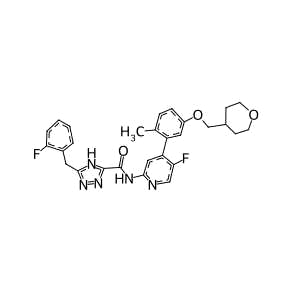 Cc1ccc(OCC2CCOCC2)cc1-c1cc(NC(=O)c2nnc(Cc3ccccc3F)[nH]2)ncc1F